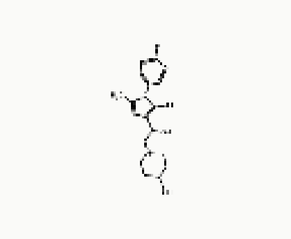 Cc1cc(C(O)CN2CCC(O)CC2)c(C)n1-c1ccc(F)cc1